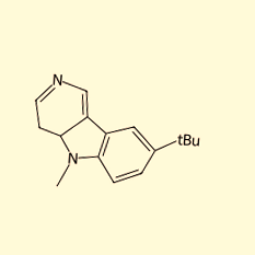 CN1c2ccc(C(C)(C)C)cc2C2=CN=CCC21